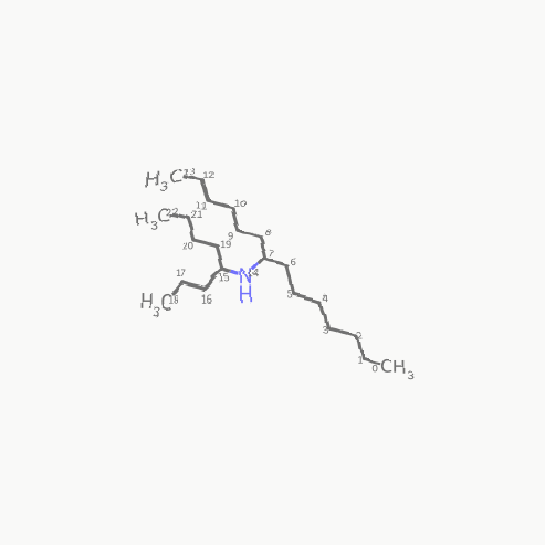 CCCCCCCC(CCCCCC)NC(CCC)CCCC